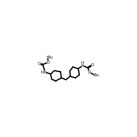 CCC(C)OC(=O)NC1CCC(CC2CCC(NC(=O)OC(C)(C)C)CC2)CC1